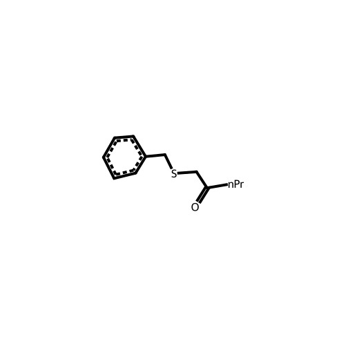 CCCC(=O)CSCc1ccccc1